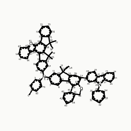 Cc1ccc(N(c2ccc3c(c2)C(C)(C)c2cc(-c4ccc5c6ccccc6n(-c6ccccc6)c5c4)c4c(c2-3)-c2ccccc2CO4)c2ccc3c(c2)C(C)(C)c2c4c(c5oc6ccccc6c5c2-3)-c2ccccc2C4(C)C)cc1